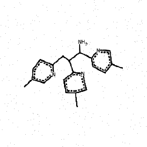 Cc1ccc(CC(c2ccc(C)cn2)C(N)c2ccc(C)cn2)nc1